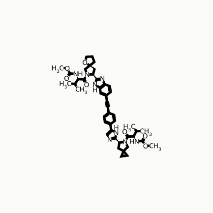 COC(=O)N[C@H](C(=O)N1CC2(CC2)C[C@H]1c1ncc(-c2ccc(C#Cc3ccc4nc([C@@H]5C[C@@]6(CCCO6)CN5C(=O)[C@@H](NC(=O)OC)C(C)C)[nH]c4c3)cc2)[nH]1)C(C)C